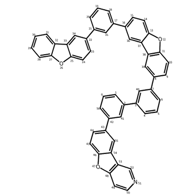 c1cc(-c2cccc(-c3ccc4oc5ccc(-c6cccc(-c7ccc8oc9ccccc9c8c7)c6)cc5c4c3)c2)cc(-c2ccc3oc4ccncc4c3c2)c1